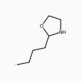 [CH2]CCCC1NCCO1